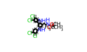 CC(C)(C)OC(=O)NCCc1cc(Nc2ccc(Cl)c(Cl)c2)cc2c1[nH]c1cc(Cl)c(Cl)cc12